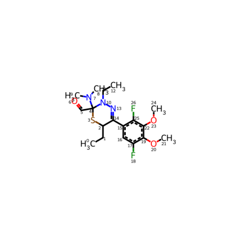 CCC1SC(C=O)(N(C)C)N(CC)N=C1c1cc(F)c(OC)c(OC)c1F